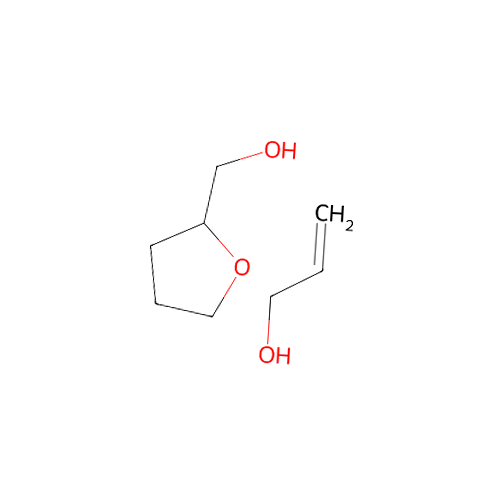 C=CCO.OCC1CCCO1